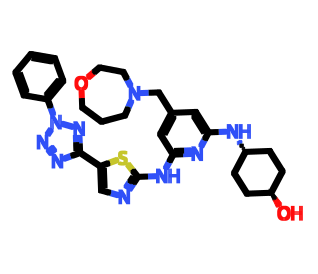 O[C@H]1CC[C@H](Nc2cc(CN3CCCOCC3)cc(Nc3ncc(-c4nnn(-c5ccccc5)n4)s3)n2)CC1